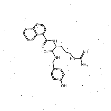 N=C(N)NCCC[C@@H](NC(=O)c1cccc2ccccc12)C(=O)NCc1ccc(O)cc1